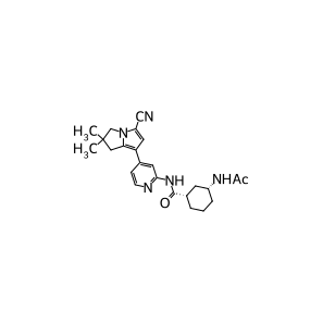 CC(=O)N[C@@H]1CCC[C@H](C(=O)Nc2cc(-c3cc(C#N)n4c3CC(C)(C)C4)ccn2)C1